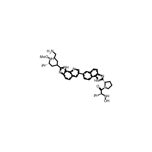 CON[C@H](CC(CCCN)c1nc2ccc3cc(-c4ccc5c(ccc6nc([C@@H]7CCCN7C(=O)[C@@H](NO)C(C)C)[nH]c65)c4)cnc3c2[nH]1)C(C)C